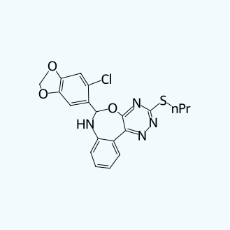 CCCSc1nnc2c(n1)OC(c1cc3c(cc1Cl)OCO3)Nc1ccccc1-2